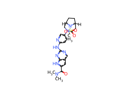 CN(C)C(=O)c1cc2cnc(Nc3ccc(N4C[C@@H]5CC[C@H](CC4=O)N5S(C)(=O)=O)cn3)nc2[nH]1